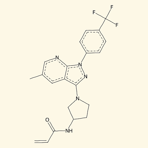 C=CC(=O)NC1CCN(c2nn(-c3ccc(C(F)(F)F)cc3)c3ncc(C)cc23)C1